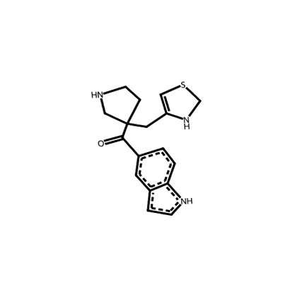 O=C(c1ccc2[nH]ccc2c1)C1(CC2=CSCN2)CCNC1